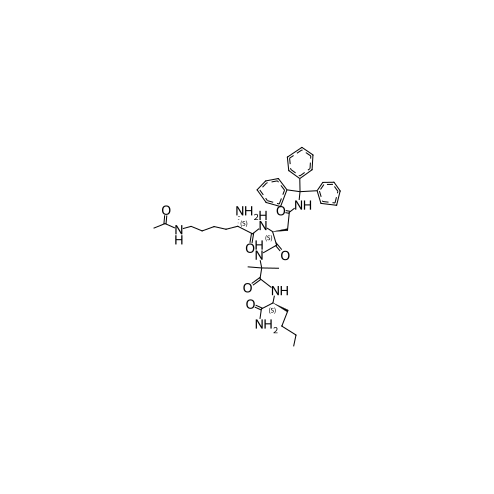 CCCC[C@H](NC(=O)C(C)(C)NC(=O)[C@H](CC(=O)NC(c1ccccc1)(c1ccccc1)c1ccccc1)NC(=O)[C@@H](N)CCCCNC(C)=O)C(N)=O